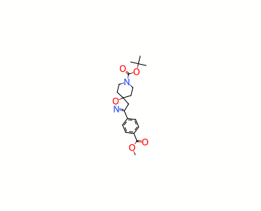 COC(=O)c1ccc(C2=NOC3(CCN(C(=O)OC(C)(C)C)CC3)C2)cc1